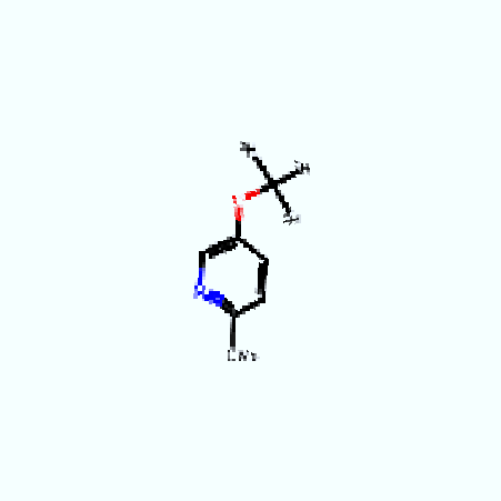 [2H]C([2H])([2H])Oc1ccc(OC)nc1